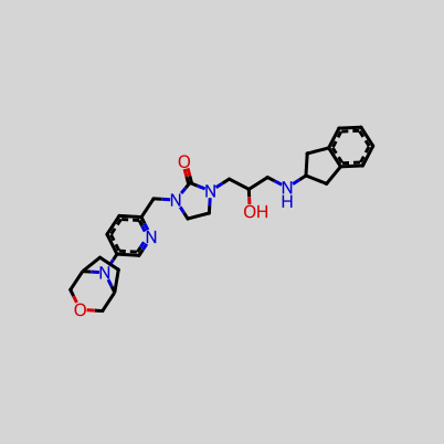 O=C1N(Cc2ccc(N3C4CCC3COC4)cn2)CCN1CC(O)CNC1Cc2ccccc2C1